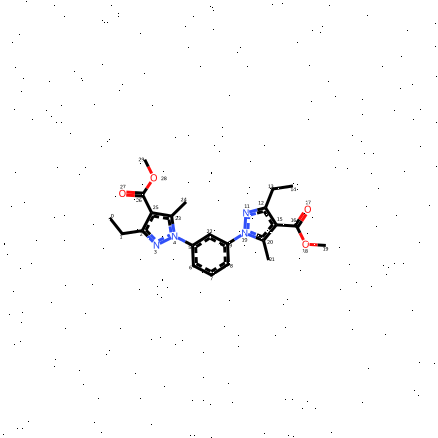 CCc1nn(-c2cccc(-n3nc(CC)c(C(=O)OC)c3C)c2)c(C)c1C(=O)OC